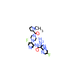 CN1CCCC1C(=O)N1CCN(c2c(F)cncc2NC(=O)c2c(N)nn3cc(F)cnc23)CC1